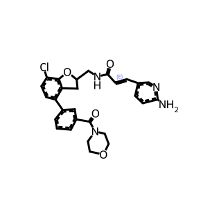 Nc1ccc(/C=C/C(=O)NCC2Cc3c(-c4cccc(C(=O)N5CCOCC5)c4)ccc(Cl)c3O2)cn1